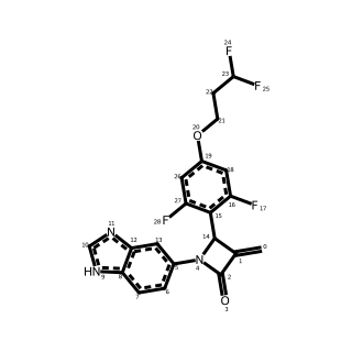 C=C1C(=O)N(c2ccc3[nH]cnc3c2)C1c1c(F)cc(OCCC(F)F)cc1F